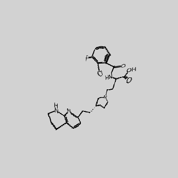 O=C(NC(CCN1CC[C@H](CCc2ccc3c(n2)NCCC3)C1)C(=O)O)c1cccc(F)c1Cl